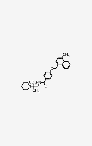 Cc1ccc(COc2ccc(C(=O)NC[C@@](C)(C(=O)O)N3CCCCC3)cc2)c2ccccc12